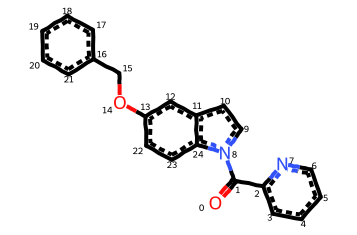 O=C(c1ccccn1)n1ccc2cc(OCc3ccccc3)ccc21